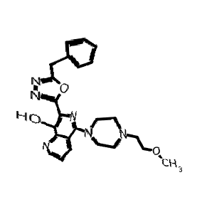 COCCN1CCN(c2nc(-c3nnc(Cc4ccccc4)o3)c(O)c3ncccc23)CC1